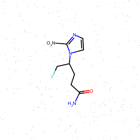 NC(=O)CCC(CF)n1ccnc1[N+](=O)[O-]